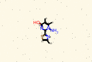 CC1=C(C)N(N)C(c2nc(C)cs2)N=C1O